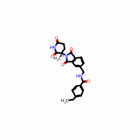 CCc1ccc(C(=O)NCc2ccc3c(c2)C(=O)N([C@@]2(C)CCC(=O)NC2=O)C3=O)cc1